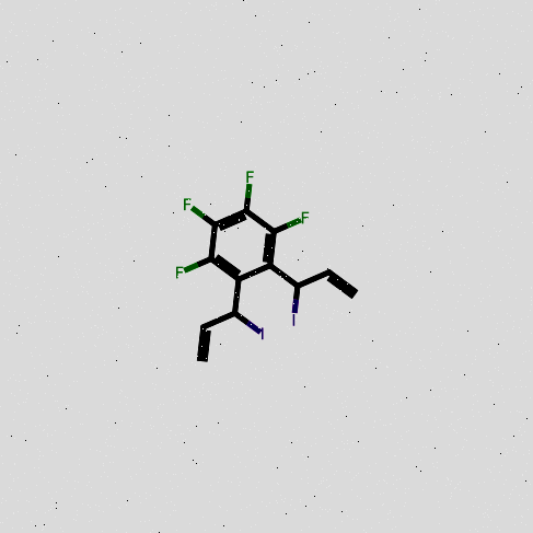 C=CC(I)c1c(F)c(F)c(F)c(F)c1C(I)C=C